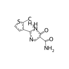 Cc1sccc1-c1ncc(C(N)=O)c(=O)[nH]1